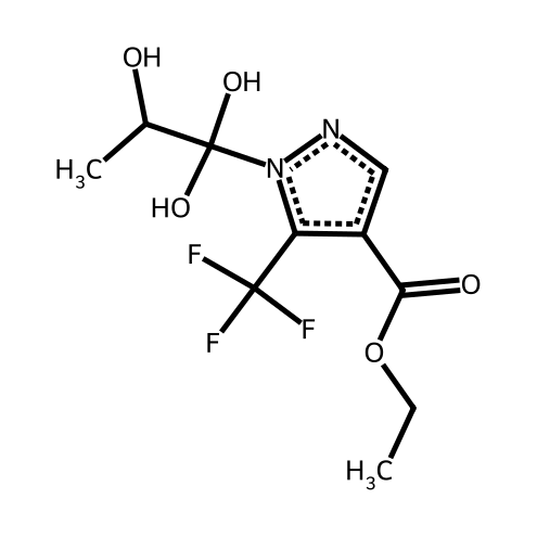 CCOC(=O)c1cnn(C(O)(O)C(C)O)c1C(F)(F)F